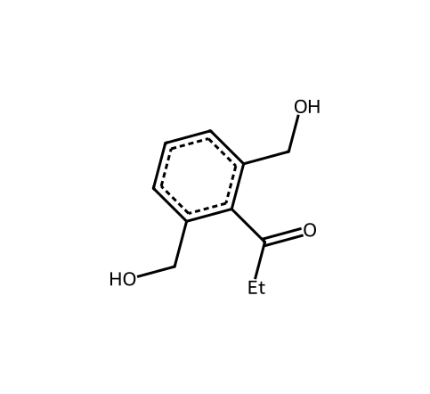 CCC(=O)c1c(CO)cccc1CO